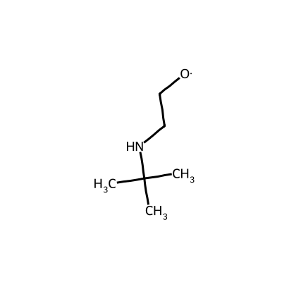 CC(C)(C)NCC[O]